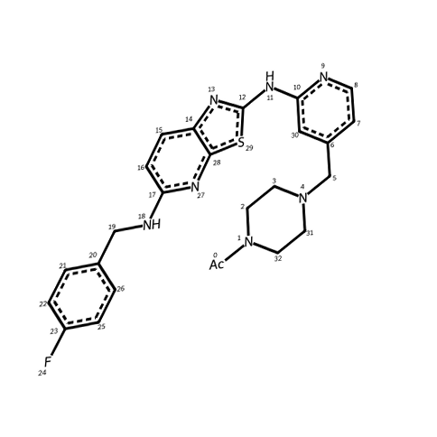 CC(=O)N1CCN(Cc2ccnc(Nc3nc4ccc(NCc5ccc(F)cc5)nc4s3)c2)CC1